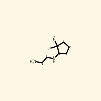 NCCNC1CCCC1(F)F